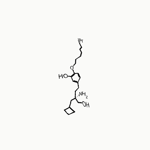 CC(C)CCCCCOc1ccc(CC[C@@](N)(CO)CC2CCC2)cc1O